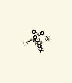 CC(=O)O.Cc1nc2cc3nc(-c4cn(CCCN)c5ccc(N(Cc6ccccc6)Cc6ccccc6)cc45)c(=O)[nH]c3cc2nc1C